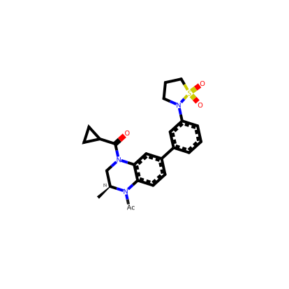 CC(=O)N1c2ccc(-c3cccc(N4CCCS4(=O)=O)c3)cc2N(C(=O)C2CC2)C[C@@H]1C